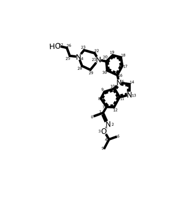 CC(=NOC(C)C)c1ccc2c(c1)ncn2-c1cccc(N2CCN(CCO)CC2)c1